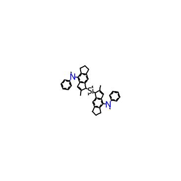 CC1=Cc2c(cc3c(c2N(C)c2ccccc2)CCC3)C1[Si](C)(C)C1C(C)=Cc2c1cc1c(c2N(C)c2ccccc2)CCC1